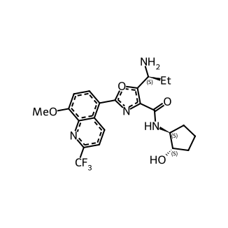 CC[C@H](N)c1oc(-c2ccc(OC)c3nc(C(F)(F)F)ccc23)nc1C(=O)N[C@H]1CCC[C@@H]1O